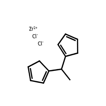 CC(C1=CC=CC1)C1=CC=CC1.[Cl-].[Cl-].[Zr+2]